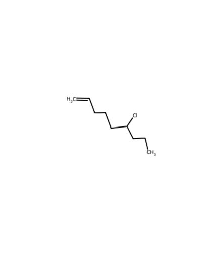 C=CCCCC(Cl)CCC